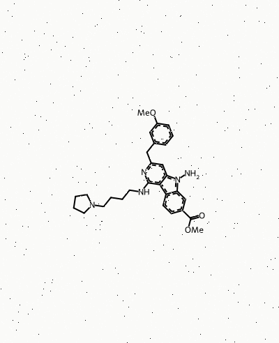 COC(=O)c1ccc2c3c(NCCCCN4CCCC4)nc(Cc4cccc(OC)c4)cc3n(N)c2c1